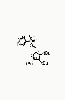 CC(C)(C)C1C(C(C)(C)C)[C@@H](COP(=O)(O)c2c[nH]nn2)O[C@H]1C(C)(C)C